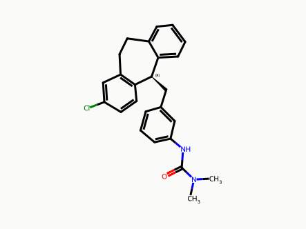 CN(C)C(=O)Nc1cccc(C[C@@H]2c3ccccc3CCc3cc(Cl)ccc32)c1